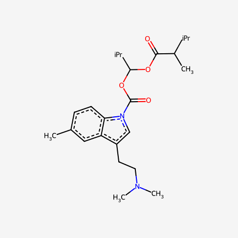 Cc1ccc2c(c1)c(CCN(C)C)cn2C(=O)OC(OC(=O)C(C)C(C)C)C(C)C